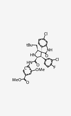 COC(=O)c1ccc(NC(=O)[C@H]2N[C@@H](CC(C)(C)C)[C@@]3(C(=O)Nc4cc(Cl)ccc43)[C@H]2c2ccc(F)c(Cl)c2)c(OC)c1